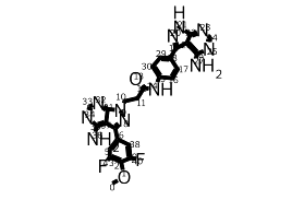 COc1c(F)cc(-c2nn(CCC(=O)Nc3ccc(-c4n[nH]c5ncnc(N)c45)cc3)c3ncnc(N)c23)cc1F